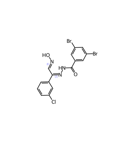 O=C(N/N=C(\C=N\O)c1cccc(Cl)c1)c1cc(Br)cc(Br)c1